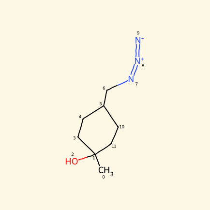 CC1(O)CCC(CN=[N+]=[N-])CC1